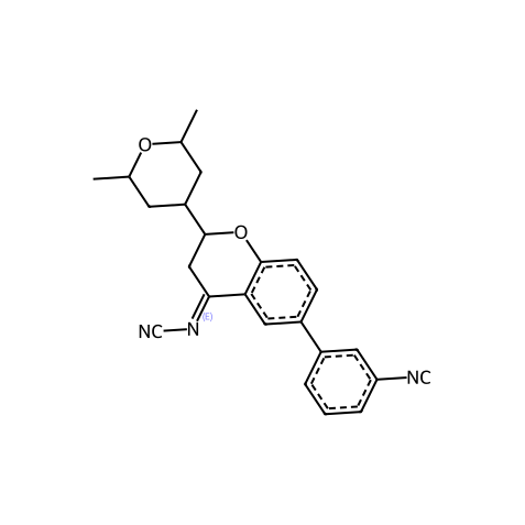 [C-]#[N+]c1cccc(-c2ccc3c(c2)/C(=N/C#N)CC(C2CC(C)OC(C)C2)O3)c1